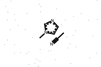 CC#N.Cn1ccnc1